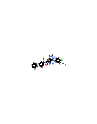 Cc1cc(Nc2ncnc3sc(C(=O)Nc4ccc(Oc5ccccc5)cc4)c(N)c23)ccc1F